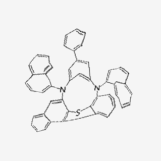 c1ccc(-c2cc3cc(c2)N(c2cccc4ccccc24)c2cc4ccccc4c4c2sc2c(cccc24)N3c2cccc3ccccc23)cc1